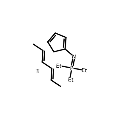 CC=CC=CC.CCP(CC)(CC)=NC1=CC=CC1.[Ti]